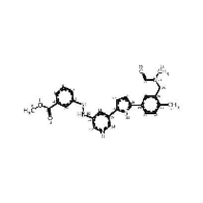 COC(=O)c1cccc(SNc2cncc(-c3ccc(-c4ccc(C)c(CN(C)C=O)c4)s3)c2)c1